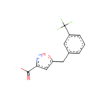 O=C(O)c1cc(Cc2cccc(C(F)(F)F)c2)on1